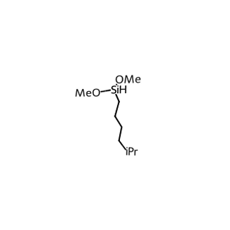 CO[SiH](CCCCC(C)C)OC